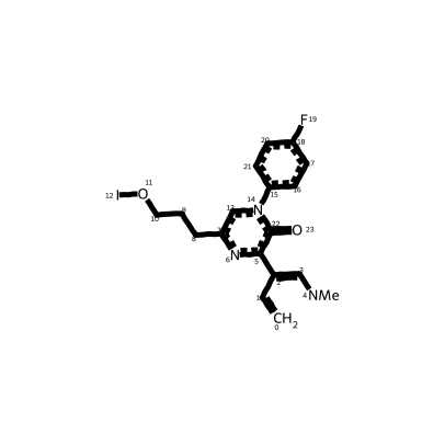 C=C/C(=C\NC)c1nc(CCCOI)cn(-c2ccc(F)cc2)c1=O